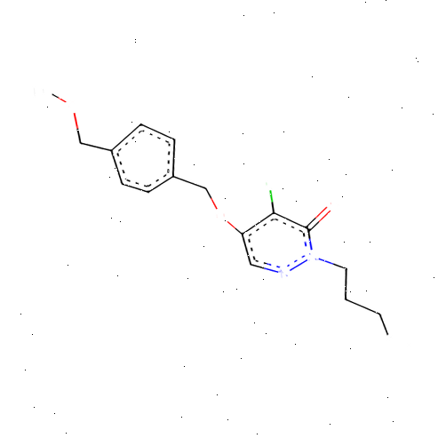 CCCCn1ncc(OCc2ccc(COC)cc2)c(Cl)c1=O